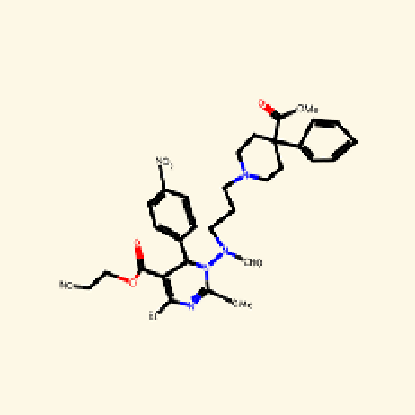 CCC1=C(C(=O)OCCC#N)C(c2ccc([N+](=O)[O-])cc2)N(N(C=O)CCCN2CCC(C(=O)OC)(c3ccccc3)CC2)C(OC)=N1